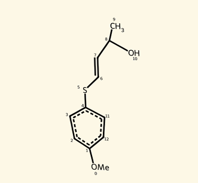 COc1ccc(SC=CC(C)O)cc1